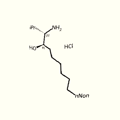 CCCCCCCCCCCCCCC[C@@H](O)[C@@H](N)C(C)C.Cl